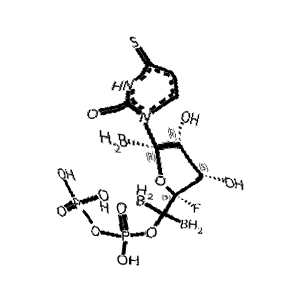 BC(B)(OP(=O)(O)OP(=O)(O)O)[C@@]1(F)O[C@@](B)(n2ccc(=S)[nH]c2=O)[C@H](O)[C@@H]1O